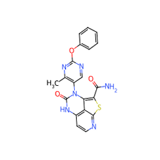 Cc1nc(Oc2ccccc2)ncc1N1C(=O)Nc2ccnc3sc(C(N)=O)c1c23